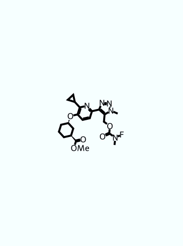 COC(=O)[C@H]1CCC[C@H](Oc2ccc(-c3nnn(C)c3COC(=O)N(C)F)nc2C2CC2)C1